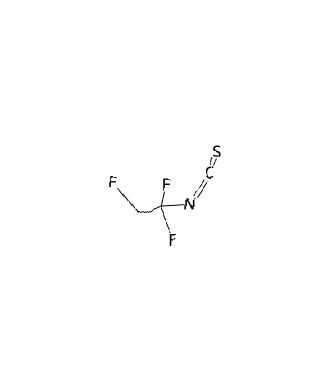 FCC(F)(F)N=C=S